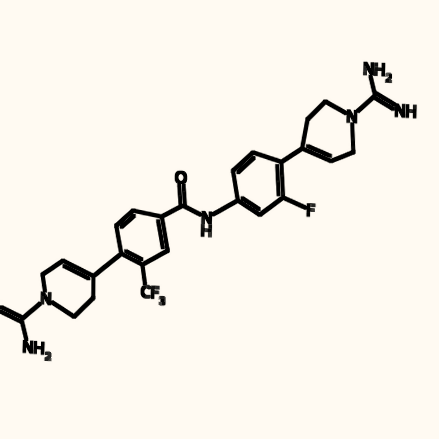 N=C(N)N1CC=C(c2ccc(NC(=O)c3ccc(C4=CCN(C(=N)N)CC4)c(C(F)(F)F)c3)cc2F)CC1